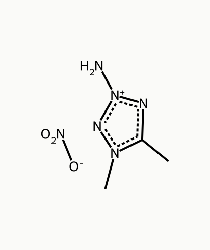 Cc1n[n+](N)nn1C.O=[N+]([O-])[O-]